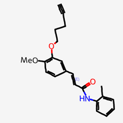 C#CCCCOc1cc(/C=C/C(=O)Nc2ccccc2C)ccc1OC